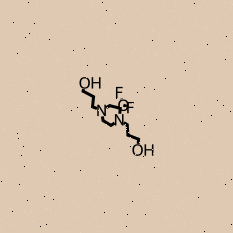 FOF.OCCCN1CCN(CCCO)CC1